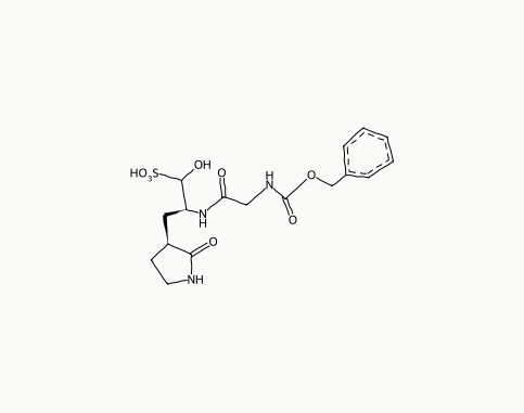 O=C(CNC(=O)OCc1ccccc1)N[C@@H](C[C@@H]1CCNC1=O)C(O)S(=O)(=O)O